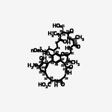 CCCCCCCCCCCCCCCC(=O)N(C)[C@H](CO)C(=O)N[C@H](C)C(=O)NCC(=O)N(C)[C@@H]1C(=O)NCC(=O)N[C@H](C(=O)O)Cc2cc(N)c(O)c(c2)-c2cc1ccc2O